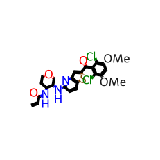 C=CC(=O)NC1CCOCC1Nc1ccc2sc(C(=O)c3c(Cl)c(OC)cc(OC)c3Cl)cc2n1